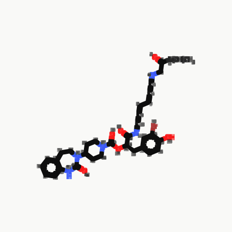 CN(O)C(=O)CN=C=C=CC=C=C=NC(=O)[C@@H](Cc1ccc(O)c(Br)c1)OC(=O)N1CCC(N2CCc3ccccc3NC2=O)CC1